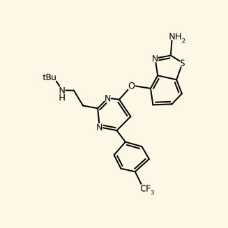 CC(C)(C)NCCc1nc(Oc2cccc3sc(N)nc23)cc(-c2ccc(C(F)(F)F)cc2)n1